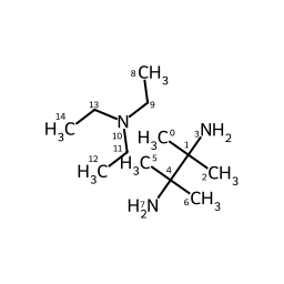 CC(C)(N)C(C)(C)N.CCN(CC)CC